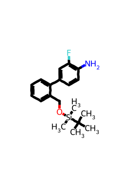 CC(C)(C)[Si](C)(C)OCc1ccccc1-c1ccc(N)c(F)c1